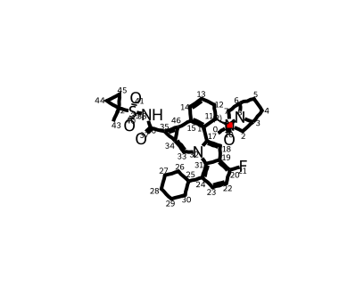 CN1CC2CCC(C1)N2C(=O)[C@@H]1CC=CC2=C1c1cc3c(F)ccc(C4CCCCC4)c3n1C=C1C(C(=O)NS(=O)(=O)C3(C)CC3)=C12